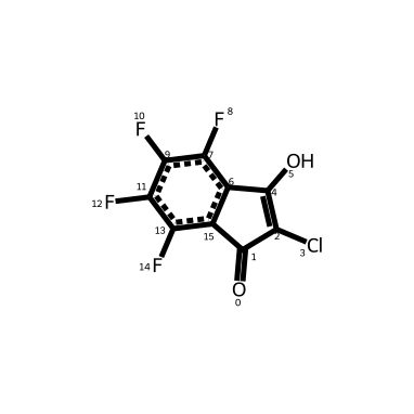 O=C1C(Cl)=C(O)c2c(F)c(F)c(F)c(F)c21